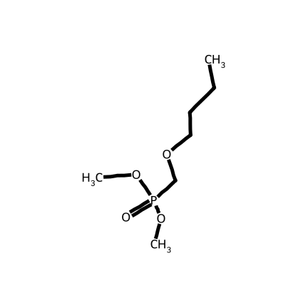 CCCCOCP(=O)(OC)OC